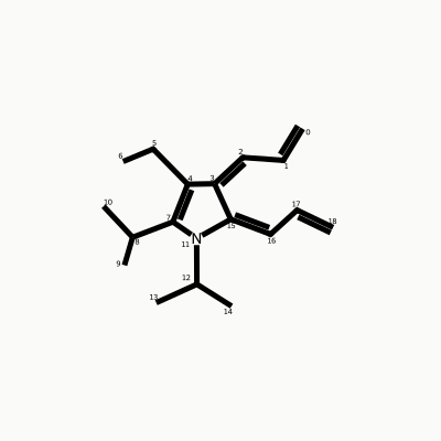 C=C/C=c1/c(CC)c(C(C)C)n(C(C)C)/c1=C/C=C